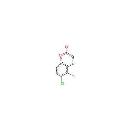 O=c1ccc2c(I)c(Cl)ccc2o1